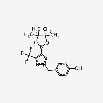 CC1(C)OB(c2cn(Cc3ccc(O)cc3)nc2C(F)(F)F)OC1(C)C